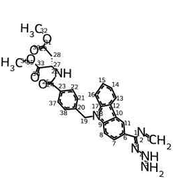 C=N/C(=N\NN)c1ccc2c(c1)c1ccccc1n2Cc1ccc(C(=O)N[C@@H](CC(=O)OC)C(=O)OC)cc1